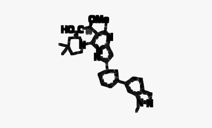 CO[C@H](C(=O)O)c1c(C)nc2cc(-c3cccc(-c4ccc5cnn(C)c5c4)c3)nn2c1N1CCC(C)(C)CC1